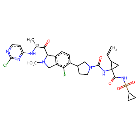 C=CC1CC1(NC(=O)N1CCC(c2ccc3c(c2F)CN(C(=O)O)C3C(=O)[C@@H](C)Nc2ccnc(Cl)n2)C1)C(=O)NS(=O)(=O)C1CC1